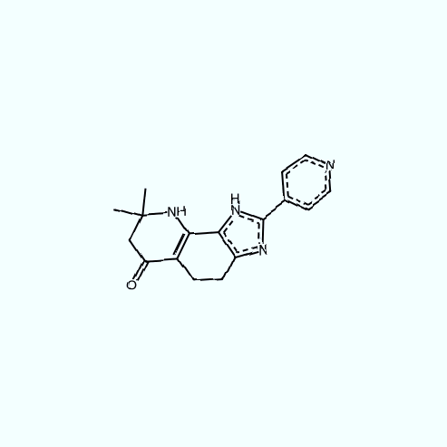 CC1(C)CC(=O)C2=C(N1)c1[nH]c(-c3ccncc3)nc1CC2